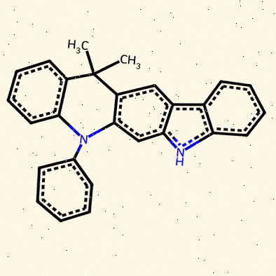 CC1(C)c2ccccc2N(c2ccccc2)c2cc3[nH]c4ccccc4c3cc21